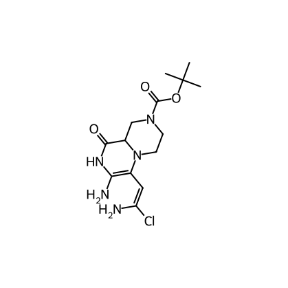 CC(C)(C)OC(=O)N1CCN2C(/C=C(\N)Cl)=C(N)NC(=O)C2C1